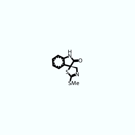 CSC1=NC[C@]2(S1)C(=O)Nc1ccccc12